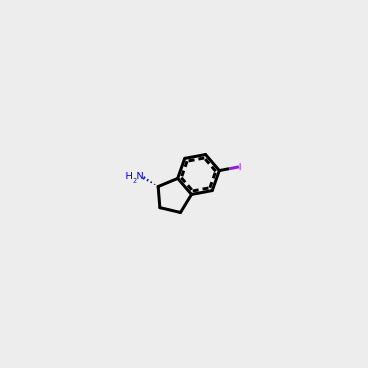 N[C@H]1CCc2cc(I)ccc21